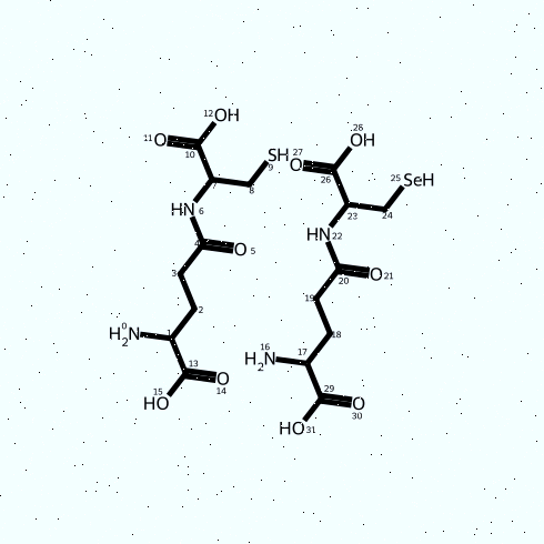 NC(CCC(=O)NC(CS)C(=O)O)C(=O)O.NC(CCC(=O)NC(C[SeH])C(=O)O)C(=O)O